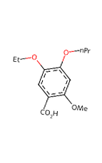 CCCOc1cc(OC)c(C(=O)O)cc1OCC